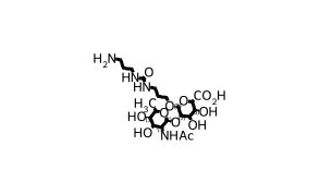 CC(=O)N[C@H]1C(O)[C@H](O)C(C)O[C@H]1O[C@H]1C(O)[C@H](O)C(C(=O)O)O[C@H]1OCCCNC(=O)NCCCN